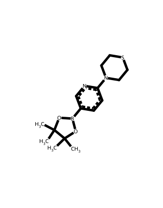 CC1(C)OB(c2ccc(N3CCSCC3)nc2)OC1(C)C